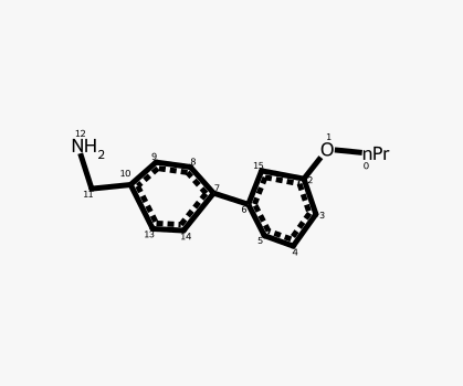 CCCOc1cccc(-c2ccc(CN)cc2)c1